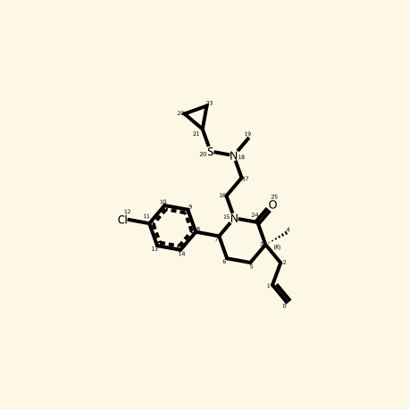 C=CC[C@@]1(C)CCC(c2ccc(Cl)cc2)N(CCN(C)SC2CC2)C1=O